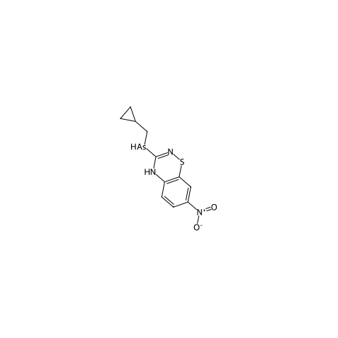 O=[N+]([O-])c1ccc2c(c1)SN=C([AsH]CC1CC1)N2